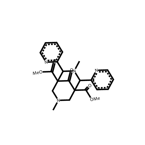 COC(=O)C12CN(C)CC(C(=O)OC)(C1=O)C(c1ccccn1)N(C)C2c1ccccn1